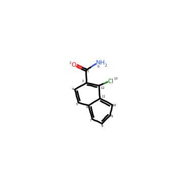 NC(=O)c1ccc2ccccc2c1Cl